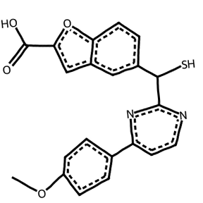 COc1ccc(-c2ccnc(C(S)c3ccc4oc(C(=O)O)cc4c3)n2)cc1